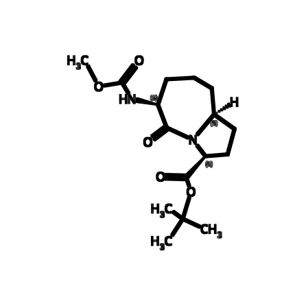 COC(=O)N[C@H]1CCC[C@H]2CC[C@@H](C(=O)OC(C)(C)C)N2C1=O